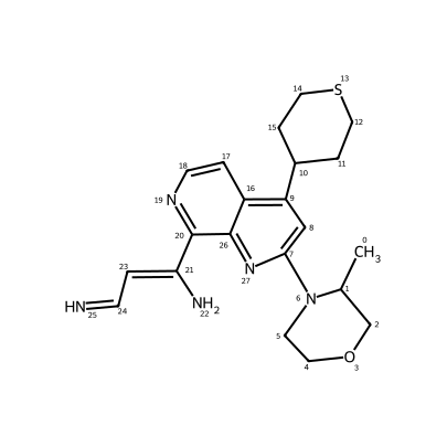 CC1COCCN1c1cc(C2CCSCC2)c2ccnc(/C(N)=C/C=N)c2n1